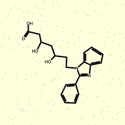 O=C(O)CC(O)CC(O)CCn1c(-c2ccccc2)nc2ccccc21